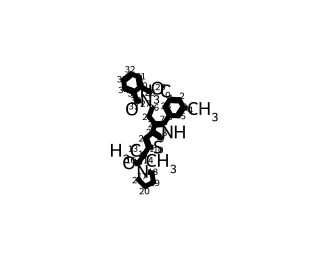 Cc1cc(C)cc(-c2[nH]c3sc(C(C)(C)C(=O)N4CCCC4)cc3c2CCN2C(=O)c3ccccc3C2=O)c1